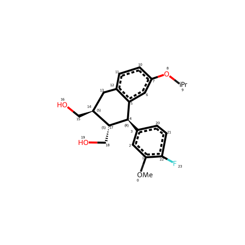 COc1cc([C@@H]2c3cc(OC(C)C)ccc3C[C@H](CO)[C@H]2CO)ccc1F